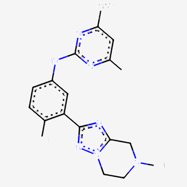 CNc1cc(C)nc(Nc2ccc(C)c(-c3nc4n(n3)CCN(C)C4)c2)n1